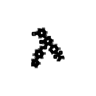 CC(C)S(=O)(=O)N1CCN(c2cnn(-c3cccc(Cl)c3)c(=O)c2OCc2ccc(-n3ccnc3)cc2)CC1